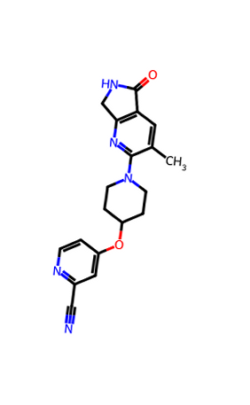 Cc1cc2c(nc1N1CCC(Oc3ccnc(C#N)c3)CC1)CNC2=O